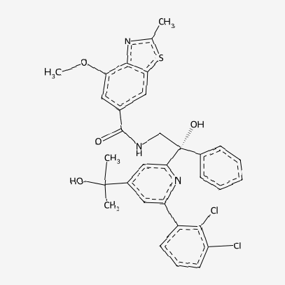 COc1cc(C(=O)NC[C@@](O)(c2ccccc2)c2cc(C(C)(C)O)cc(-c3cccc(Cl)c3Cl)n2)cc2sc(C)nc12